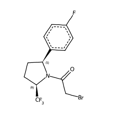 O=C(CBr)N1[C@H](c2ccc(F)cc2)CC[C@@H]1C(F)(F)F